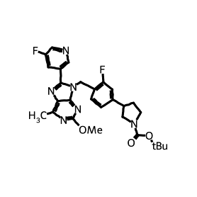 COc1nc(C)c2nc(-c3cncc(F)c3)n(Cc3ccc(C4CCN(C(=O)OC(C)(C)C)C4)cc3F)c2n1